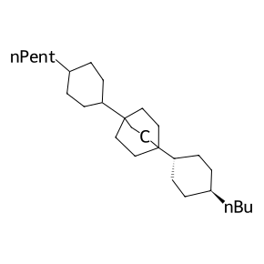 CCCCCC1CCC(C23CCC([C@H]4CC[C@H](CCCC)CC4)(CC2)CC3)CC1